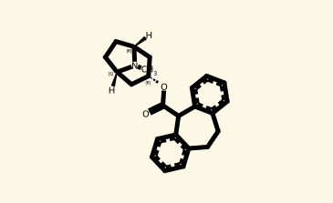 CN1[C@@H]2CC[C@H]1C[C@@H](OC(=O)C1c3ccccc3CCc3ccccc31)C2